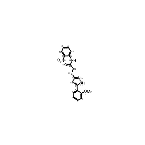 COc1ccccc1-c1nc(SCC(=O)Nc2ccccc2[N+](=O)[O-])n[nH]1